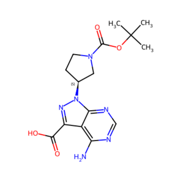 CC(C)(C)OC(=O)N1CC[C@H](n2nc(C(=O)O)c3c(N)ncnc32)C1